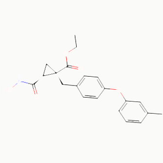 CCOC(=O)[C@@]1(Cc2ccc(Oc3cccc(C)c3)cc2)C[C@@H]1C(=O)NO